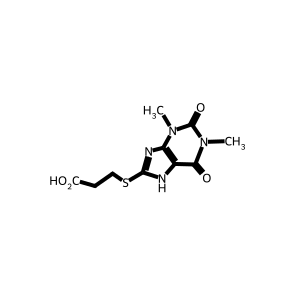 Cn1c(=O)c2[nH]c(SCCC(=O)O)nc2n(C)c1=O